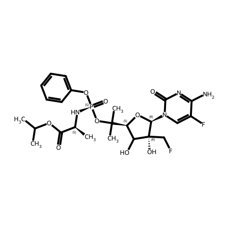 CC(C)OC(=O)[C@H](C)N[P@](=O)(Oc1ccccc1)OC(C)(C)[C@H]1O[C@@H](n2cc(F)c(N)nc2=O)[C@@](O)(CF)C1O